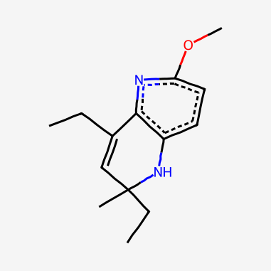 CCC1=CC(C)(CC)Nc2ccc(OC)nc21